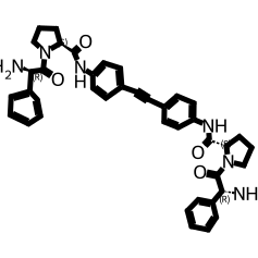 N[C@@H](C(=O)N1CCC[C@H]1C(=O)Nc1ccc(C#Cc2ccc(NC(=O)[C@@H]3CCCN3C(=O)[C@H](N)c3ccccc3)cc2)cc1)c1ccccc1